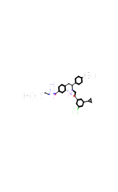 CC(C)(C)c1ccc(C(Cc2ccc(C(=O)NCCS(=O)(=O)O)cc2)c2cc(-c3cc(Cl)cc(C4CC4)c3)on2)cc1